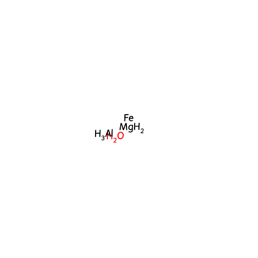 O.[AlH3].[Fe].[MgH2]